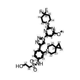 COc1cc(-n2cc(-c3ccc(NS(=O)(=O)CCO)cc3N3CCC4(CC3)CC4)nn2)nc(N2CCC(F)(F)CC2)n1